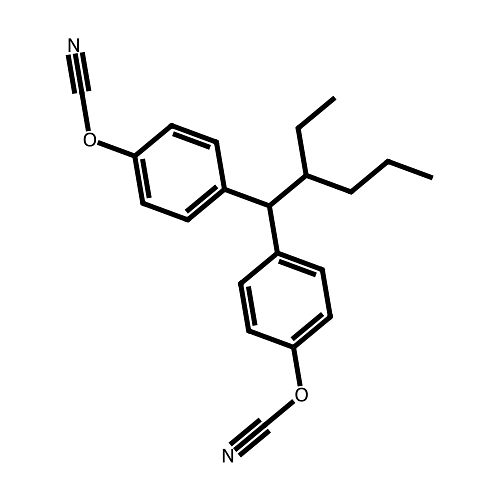 CCCC(CC)C(c1ccc(OC#N)cc1)c1ccc(OC#N)cc1